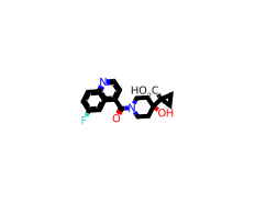 O=C(c1ccnc2ccc(F)cc12)N1CCC(O)(C2(C(=O)O)CC2)CC1